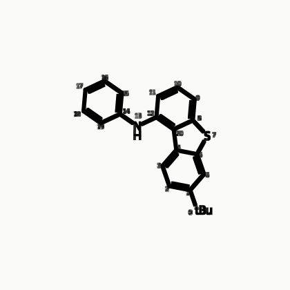 CC(C)(C)c1ccc2c(c1)sc1cccc(Nc3ccccc3)c12